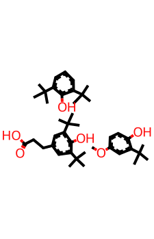 CC(C)(C)c1cc(CCC(=O)O)cc(C(C)(C)C)c1O.CC(C)(C)c1cccc(C(C)(C)C)c1O.COc1ccc(O)c(C(C)(C)C)c1